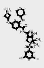 CN1CC(Oc2ccc(C(=O)Nc3n[nH]c4c3CN(S(=O)(=O)c3cc(F)cc(F)c3)C4(C)C)c(NC3CCOCC3)c2)C1